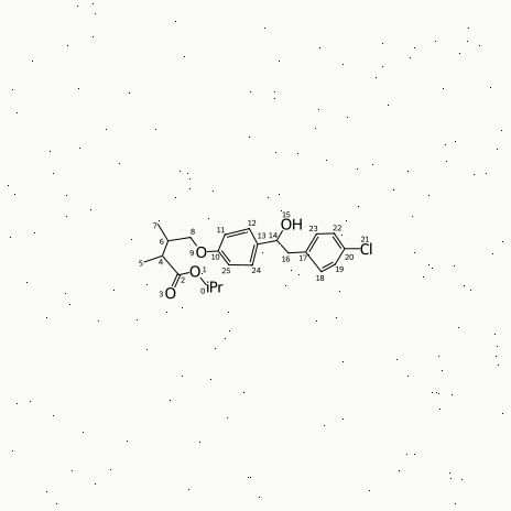 CC(C)OC(=O)C(C)C(C)COc1ccc(C(O)Cc2ccc(Cl)cc2)cc1